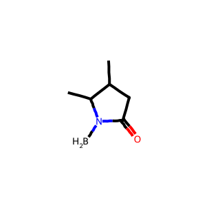 BN1C(=O)CC(C)C1C